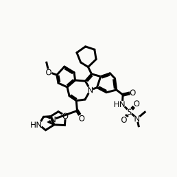 COc1ccc2c(c1)C=C(C(=O)N1CC34CNCC3(COC4)C1)Cn1c-2c(C2CCCCC2)c2ccc(C(=O)NS(=O)(=O)N(C)C)cc21